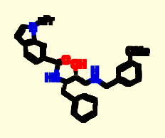 CCCn1ccc2ccc(C(=O)N[C@@H](Cc3ccccc3)[C@H](O)CNCc3cccc(OC)c3)cc21